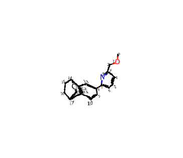 COCc1cccc(-c2ccc3c(c2)C2CCC3CC2)n1